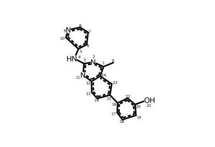 Cc1nc(Nc2cccnc2)nc2ccc(-c3cccc(O)c3)cc12